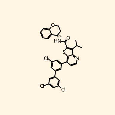 CC(C)c1c(C(=O)N[C@H]2CCOc3ccccc32)sc2c(-c3cc(Cl)cc(-c4cc(Cl)cc(Cl)c4)c3)ccnc12